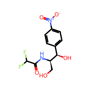 O=C(N[C@H](CO)[C@H](O)c1ccc([N+](=O)[O-])cc1)C(F)F